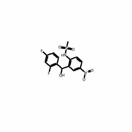 CS(=O)(=O)Nc1ccc([N+](=O)[O-])cc1C(O)c1ccc(F)cc1F